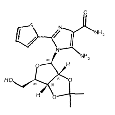 CC1(C)O[C@@H]2[C@H](O1)[C@@H](CO)O[C@H]2n1c(-c2cccs2)nc(C(N)=O)c1N